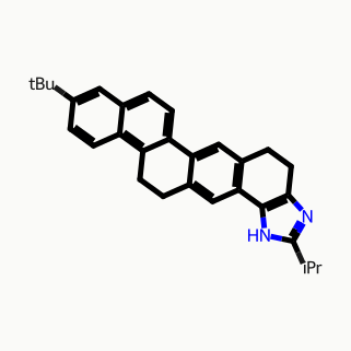 CC(C)c1nc2c([nH]1)-c1cc3c(cc1CC2)-c1ccc2cc(C(C)(C)C)ccc2c1CC3